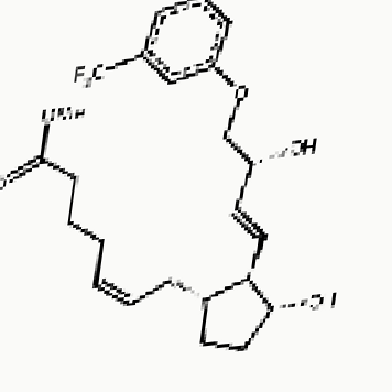 COC(=O)CCC/C=C\C[C@H]1CC[C@@H](O)[C@@H]1/C=C/[C@@H](O)COc1cccc(C(F)(F)F)c1